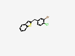 Clc1ccc(Cc2cc3ccccc3s2)cc1Br